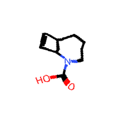 O=C(O)N1CCCC2C=CC21